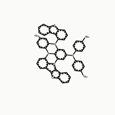 CC(C)(C)c1ccc(N(c2ccc(C(C)(C)C)cc2)c2cc3c4c(c2)-n2c5c(cccc5c5oc6ccccc6c52)B4c2ccc(C(C)(C)C)cc2N3c2cccc3sc4ccccc4c23)cc1